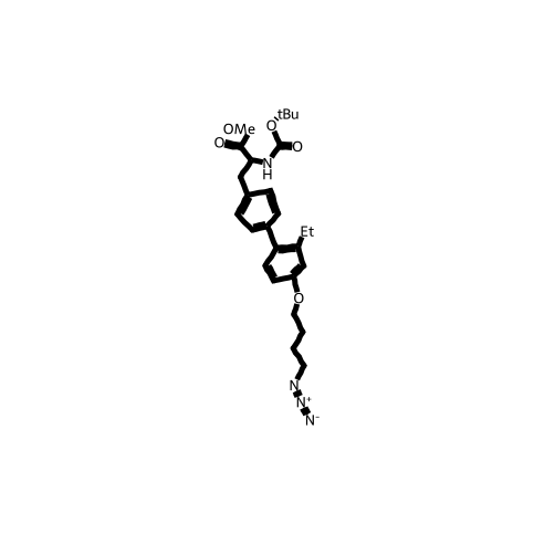 CCc1cc(OCCCCN=[N+]=[N-])ccc1-c1ccc(CC(NC(=O)OC(C)(C)C)C(=O)OC)cc1